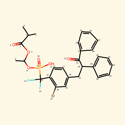 CC(OC(=O)C(C)C)OP(=O)(O)C(F)(F)c1ccc(CC(C(=O)c2ccccc2)c2ccccc2)cc1Br